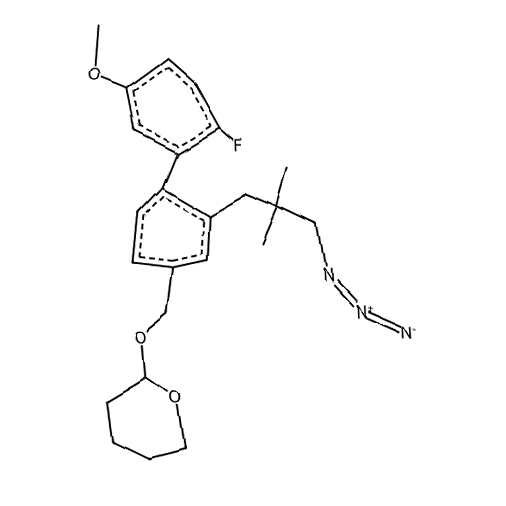 COc1ccc(F)c(-c2ccc(COC3CCCCO3)cc2CC(C)(C)CN=[N+]=[N-])c1